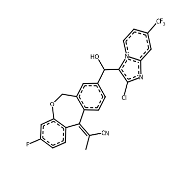 C/C(C#N)=C1/c2ccc(C(O)c3c(Cl)nc4cc(C(F)(F)F)ccn34)cc2COc2cc(F)ccc21